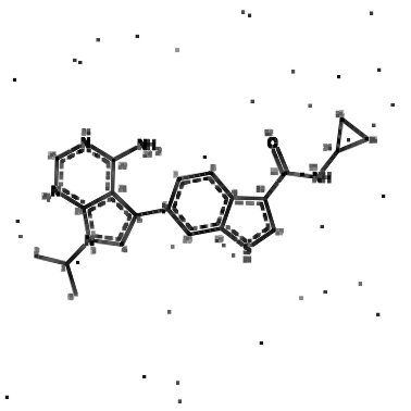 CC(C)n1cc(-c2ccc3c(C(=O)NC4CC4)csc3c2)c2c(N)ncnc21